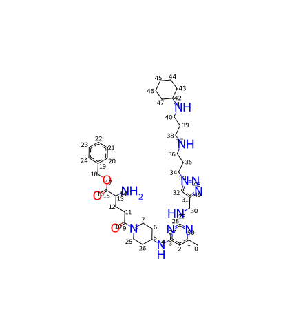 Cc1cc(NC2CCN(C(=O)CCC(N)C(=O)OCc3ccccc3)CC2)nc(NCc2cn(CCCNCCCNC3CCCCC3)nn2)n1